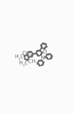 CC1(C)CC(C)(C)c2cc(-c3cc(N(c4ccccc4)c4ccccc4)c4oc5ccccc5c4c3)ccc21